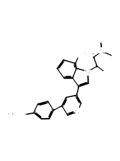 COc1ccc(-c2cncc(-c3cn(C(C)CN(C)C)c4c(OC)cccc34)c2)cc1